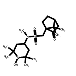 CN(C1CC(C)(C)N(O)C(C)(C)C1)S(=O)(=O)CC12CCC(CC1=O)C2(C)C